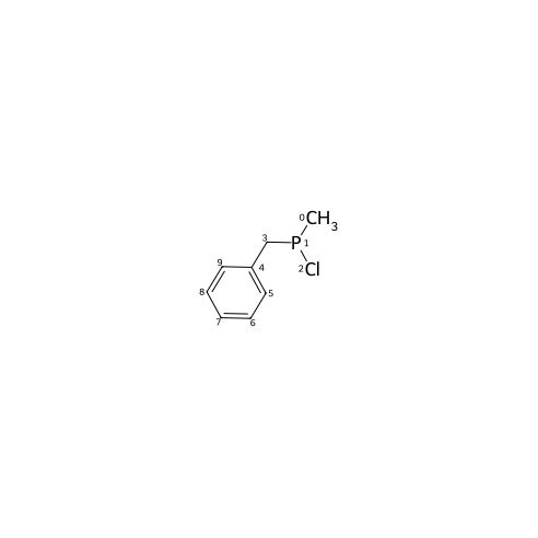 CP(Cl)Cc1ccccc1